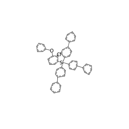 Clc1c(Oc2ccccc2)cccc1[Si](c1ccc(-c2ccccc2)cc1)(c1ccc(-c2ccccc2)cc1)c1ccc(-c2ccccc2)cc1